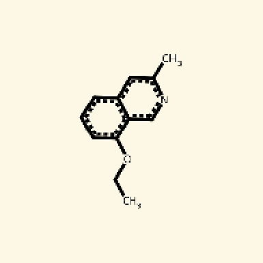 CCOc1cccc2cc(C)ncc12